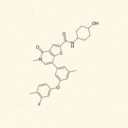 Cc1cc(Oc2ccc(C)c(F)c2)cc(-c2cn(C)c(=O)c3cc(C(=O)NC4CCC(O)CC4)sc23)c1